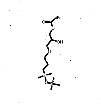 CC(C)C(=O)OCC(O)COCCC[Si](C)(C)O[Si](C)(C)C